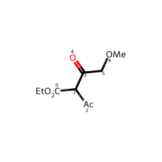 CCOC(=O)C(C(C)=O)C(=O)COC